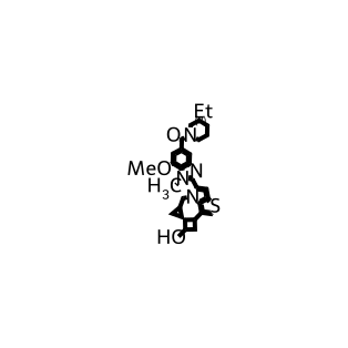 CC[C@@H]1CCCN(C(=O)c2cc(OC)c3c(c2)nc(-c2cc4scc(C5CC(O)C5)c4n2CC2CC2)n3C)C1